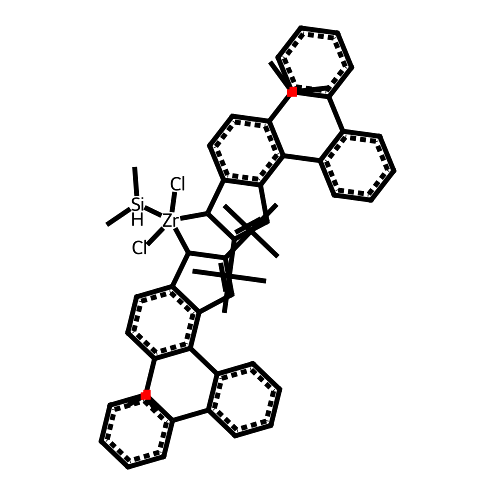 CC(C)c1ccc2c(c1-c1ccccc1-c1ccccc1)C=C(C(C)(C)C)[CH]2[Zr]([Cl])([Cl])([CH]1C(C(C)(C)C)=Cc2c1ccc(C(C)C)c2-c1ccccc1-c1ccccc1)[SiH](C)C